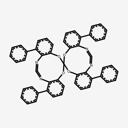 C1=Nc2c(cccc2-c2ccccc2)OC2(Oc3cccc(-c4ccccc4)c3N=1)Oc1cccc(-c3ccccc3)c1N=C=Nc1c(cccc1-c1ccccc1)O2